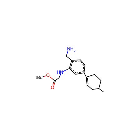 CC1CC=C(c2ccc(CN)c(NCC(=O)OC(C)(C)C)c2)CC1